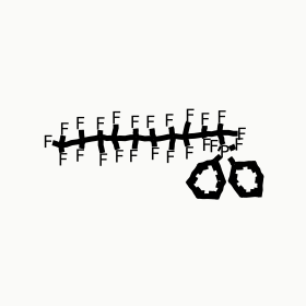 FC(F)(F)C(F)(F)C(F)(F)C(F)(F)C(F)(F)C(F)(F)C(F)(F)C(F)(F)C(F)(F)C(F)(F)P(F)(F)(c1ccccc1)c1ccccc1